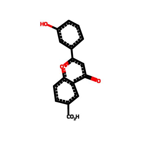 O=C(O)c1ccc2oc(-c3cccc(O)c3)cc(=O)c2c1